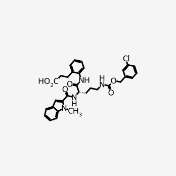 Cn1c(C(=O)N[C@@H](CCCNC(=O)OCc2cccc(Cl)c2)C(=O)Nc2ccccc2CCC(=O)O)cc2ccccc21